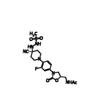 CC(=O)NCC1CN(c2ccc(N3CCC(C#N)(NNS(C)(=O)=O)CC3)c(F)c2)C(=O)O1